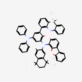 Cc1cc2c(cc1N1c3cc(N(c4ccccc4)c4ccccc4)cc4c3B(c3ccc5c(oc6ccccc65)c31)N1c3ccccc3[Si](C)(C)c3cccc-4c31)C(C)(C)CCC2(C)C